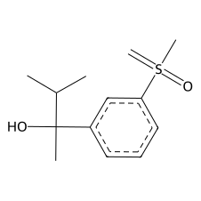 C=S(C)(=O)c1cccc(C(C)(O)C(C)C)c1